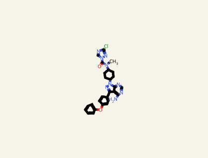 CN(C(=O)n1cnc(Cl)n1)C1CCC(n2nc(-c3ccc(Oc4ccccc4)cc3)c3c(N)ncnc32)CC1